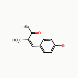 CCCCC(=O)C(=Cc1ccc(Br)cc1)C(=O)O